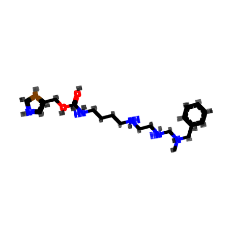 CN(CNCCNCCCCNC(=O)OCc1cncs1)Cc1ccccc1